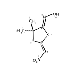 CC1(C)SC(=C[N+](=O)[O-])SC1=NO